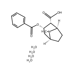 CN1[C@H]2CC[C@@H]1[C@@H](C(=O)O)[C@@H](OC(=O)c1ccccc1)C2.O.O.O.O